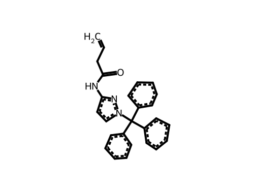 C=CCC(=O)Nc1ccn(C(c2ccccc2)(c2ccccc2)c2ccccc2)n1